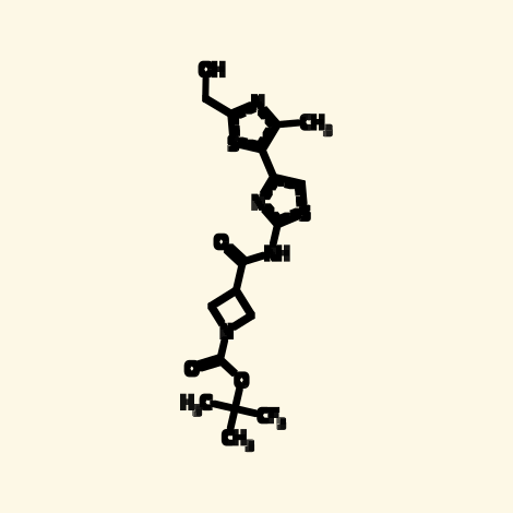 Cc1nc(CO)sc1-c1csc(NC(=O)C2CN(C(=O)OC(C)(C)C(F)(F)F)C2)n1